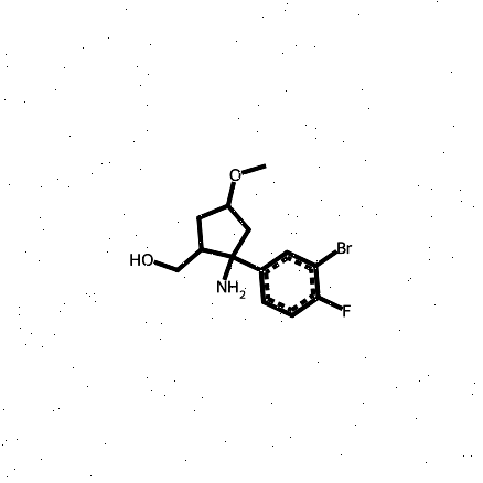 COC1CC(CO)C(N)(c2ccc(F)c(Br)c2)C1